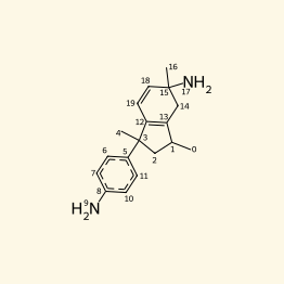 CC1CC(C)(c2ccc(N)cc2)C2=C1CC(C)(N)C=C2